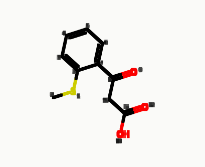 CSc1ccccc1C(=O)CC(=O)O